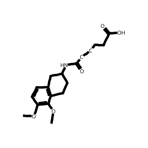 COc1ccc2c(c1OC)CCC(NC(=O)CCCCC(=O)O)C2